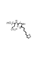 C[C@H](NC(=O)CCCCC1CCSS1)C(=O)NC(CCC(=O)O)C(=O)O